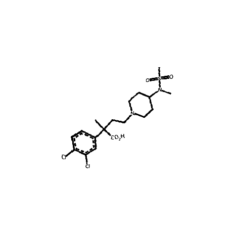 CN(C1CCN(CCC(C)(C(=O)O)c2ccc(Cl)c(Cl)c2)CC1)S(C)(=O)=O